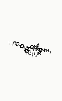 COc1cc(NC(=O)Nc2ccc(-c3cn(C4CCC(N5CCN(C)CC5)CC4)c4ncnc(N)c34)cc2F)cc(OC)c1